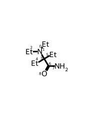 CCN(CC)C(CC)(CC)C(N)=O